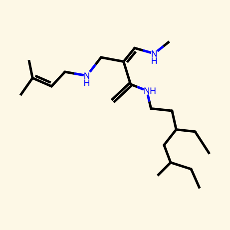 C=C(NCCC(CC)CC(C)CC)/C(=C\NC)CNCC=C(C)C